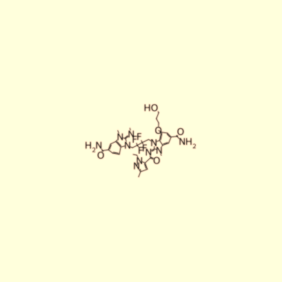 CCn1nc(C)cc1C(=O)/N=c1\n(C)c2cc(C(N)=O)cc(OCCCO)c2n1CC(F)(F)C(F)(F)Cn1/c(=N/C)n(C)c2cc(C(N)=O)ccc21